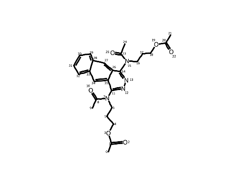 CC(=O)OCCCN(C(C)=O)c1nnc(N(CCCOC(C)=O)C(C)=O)c2cc3ccccc3cc12